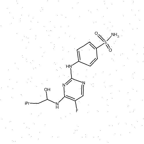 CC(C)CC(O)Nc1nc(Nc2ccc(S(N)(=O)=O)cc2)ncc1F